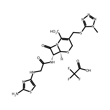 Cn1nnnc1SCC1=C(C(=O)O)N2C(=O)[C@@H](NC(=O)CNc3csc(N)n3)[C@@H]2SC1.O=C(O)C(F)(F)F